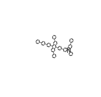 c1ccc(-c2ccc(-c3ccc(-c4c5ccc(-c6ccccc6)cc5c(-c5ccc(-c6ccc7c(c6)c6cc(-c8ccccc8)ccc6n7-c6ccccc6)cc5)c5ccc(-c6ccccc6)cc45)cc3)cc2)cc1